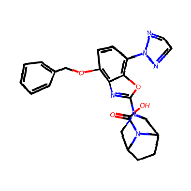 O=C(O)N1C2CCC1CN(c1nc3c(OCc4ccccc4)ccc(-n4nccn4)c3o1)C2